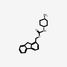 N[C@H]1CC[C@@H](NC(=O)OCc2cccc3c2Cc2ccccc2-3)CC1